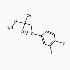 CC(COc1ccc(Br)c(F)c1)(ON)C(=O)O